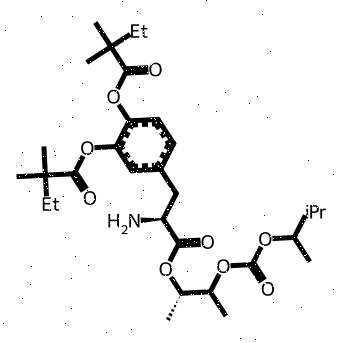 CCC(C)(C)C(=O)Oc1ccc(C[C@H](N)C(=O)O[C@@H](C)C(C)OC(=O)OC(C)C(C)C)cc1OC(=O)C(C)(C)CC